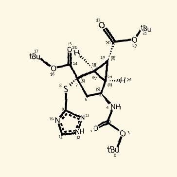 CC(C)(C)OC(=O)N[C@H]1C[C@@](Sc2nc[nH]n2)(C(=O)OC(C)(C)C)[C@H]2[C@H](C(=O)OC(C)(C)C)[C@H]21